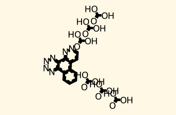 O=C(O)O.O=C(O)O.O=C(O)O.O=C(O)O.O=C(O)O.O=C(O)O.c1ccc2c(c1)c1ccnnc1c1nnnnc21